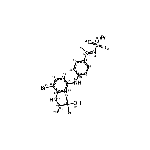 CCCS(=O)(=O)/N=S(\C)c1ccc(Nc2ncc(Br)c(N[C@H](C)C(C)(C)O)n2)cc1